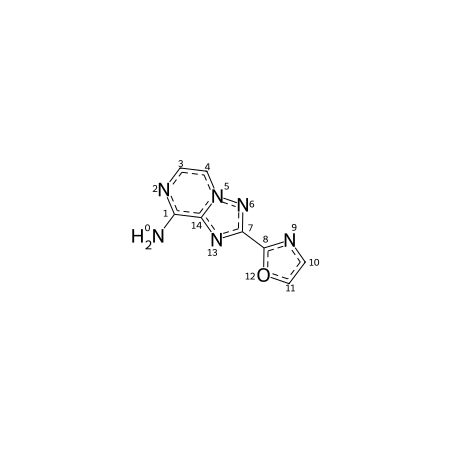 Nc1nccn2nc(-c3ncco3)nc12